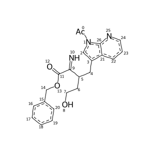 CC(=O)n1cc(CC(CCO)C(=N)C(=O)OCc2ccccc2)c2cccnc21